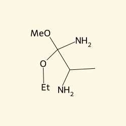 CCOC(N)(OC)C(C)N